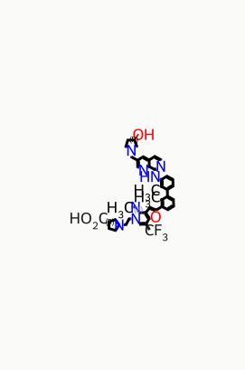 C/N=c1/c2cc(-c3cccc(-c4cccc(Nc5nccc6cc(CN7CC[C@@H](O)C7)cnc56)c4C)c3C)oc2c(C(F)(F)F)cn1CCN1CC[C@@H](C(=O)O)C1